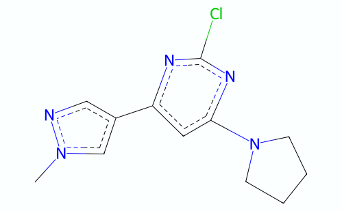 Cn1cc(-c2cc(N3CCCC3)nc(Cl)n2)cn1